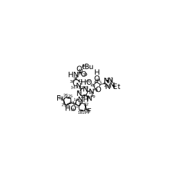 CCn1nnc([C@H]2O[C@@H](n3cnc4c(NCC(O)(c5ccc(F)cc5)c5ccc(F)cc5)nc(N5CCC(NC(=O)OC(C)(C)C)C5)nc43)[C@H](O)[C@@H]2O)n1